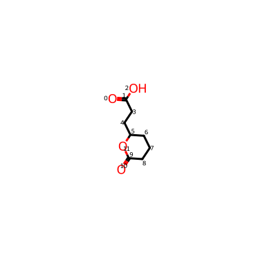 O=C(O)CCC1CCCC(=O)O1